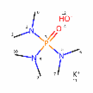 CN(C)P(=O)(N(C)C)N(C)C.[K+].[OH-]